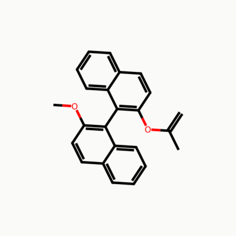 C=C(C)Oc1ccc2ccccc2c1-c1c(OC)ccc2ccccc12